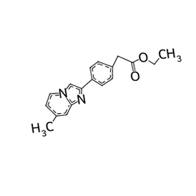 CCOC(=O)Cc1ccc(-c2cn3ccc(C)cc3n2)cc1